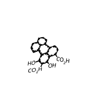 O=C(O)c1c(O)c2c(C(=O)O)ccc3c4cccc5cccc(c(c1O)c23)c54